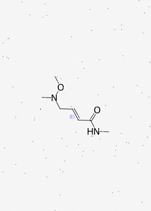 CNC(=O)/C=C/CN(C)OC